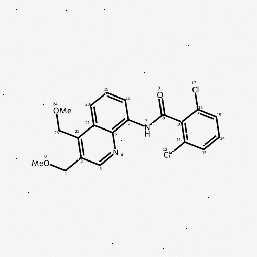 COCc1cnc2c(NC(=O)c3c(Cl)cccc3Cl)cccc2c1COC